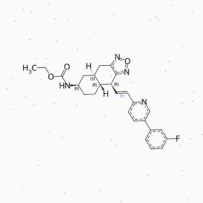 CCOC(=O)N[C@@H]1CC[C@@H]2[C@H](Cc3nonc3[C@H]2/C=C/c2ccc(-c3cccc(F)c3)cn2)C1